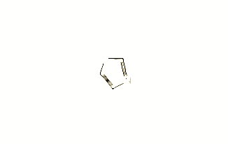 [c]1cncs1